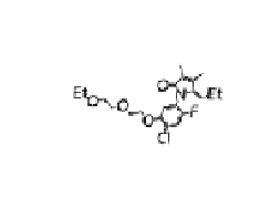 CCC=C1C(C)=C(C)C(=O)N1c1cc(OCCOCCOCC)c(Cl)cc1F